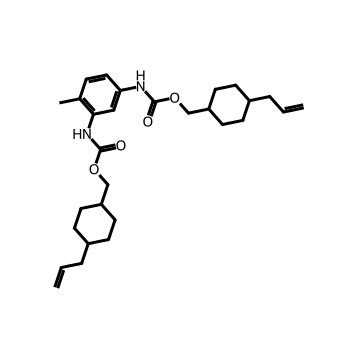 C=CCC1CCC(COC(=O)Nc2ccc(C)c(NC(=O)OCC3CCC(CC=C)CC3)c2)CC1